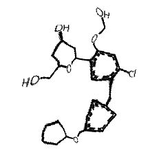 OCOc1cc(Cl)c(Cc2ccc(OC3CCCC3)cc2)cc1C1CC(O)CC(CO)O1